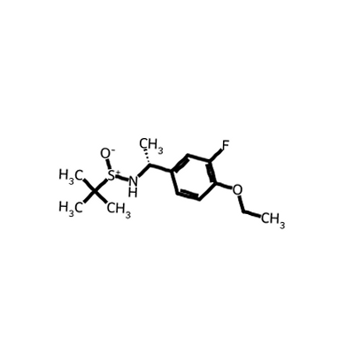 CCOc1ccc([C@@H](C)N[S+]([O-])C(C)(C)C)cc1F